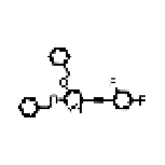 Fc1ccc(C#Cc2cc(OCc3ccccc3)c(OCc3ccccc3)nn2)c(F)c1